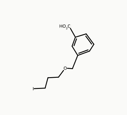 O=C(O)c1cccc(COCCCI)c1